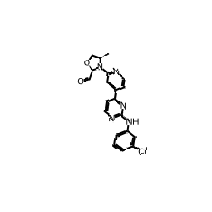 C[C@@H]1COC(C=O)N1c1cc(-c2ccnc(Nc3cccc(Cl)c3)n2)ccn1